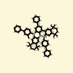 Cc1cc(-c2ccccc2)ccc1N1c2cc3c(cc2Bc2c(-c4cc5c(cc4Nc4ccc(-c6ccccc6)cc4)C(C)(C)CCC5(C)C)cc(-c4ccccc4)cc21)C(C)(C)CCC3(C)C